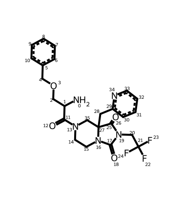 NC(COCc1ccccc1)C(=O)N1CCN2C(=O)N(CC(F)(F)F)C(=O)C2(Cc2ccccn2)C1